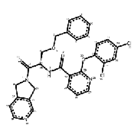 O=C(N[C@H](COCc1ccccc1)C(=O)N1Cc2ccncc2C1)c1cccnc1Oc1ccc(Cl)cc1Cl